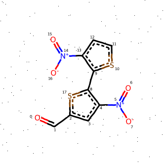 O=Cc1cc([N+](=O)[O-])c(-c2sccc2[N+](=O)[O-])s1